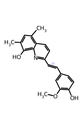 COc1cc(/C=C/c2ccc3c(C)cc(C)c(O)c3n2)ccc1O